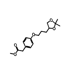 COC(=O)Cc1ccc(OCCCC2COC(C)(C)O2)cc1